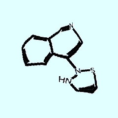 C1=CSN(c2cncc3ccccc23)N1